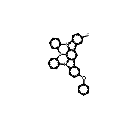 Fc1ccc2c(c1)c1cc3c4cc(Oc5ccccc5)ccc4n4c3c3c1n2-c1ccccc1B3c1ccccc1-4